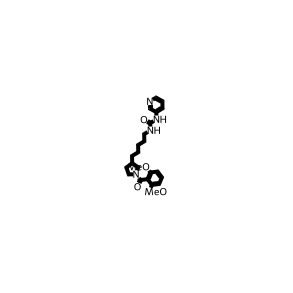 COc1cccc(OC)c1C(=O)N1CCC(CCCCCNC(=O)Nc2cccnc2)C1